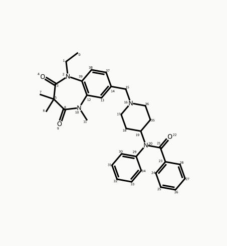 CCN1C(=O)C(C)(C)C(=O)N(C)c2cc(CN3CCC(N(C(=O)c4ccccc4)c4ccccc4)CC3)ccc21